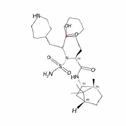 CC1(C)[C@@H]2CC[C@@]1(C)[C@@H](NC(=O)[C@H](CC1CCCCC1)N(C(CC1CCNCC1)C(=O)O)S(N)(=O)=O)C2